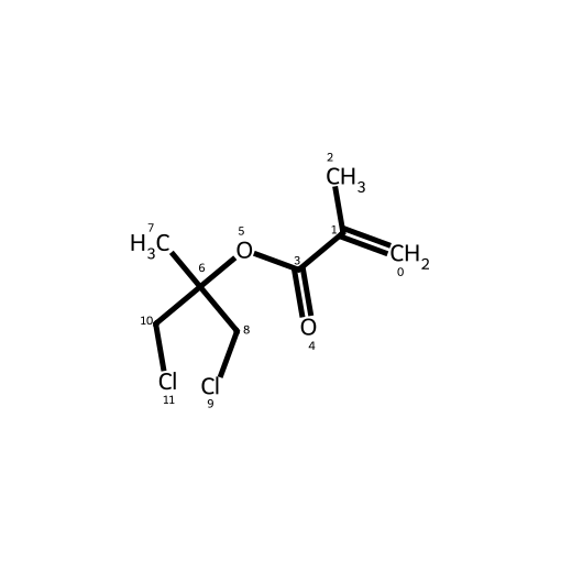 C=C(C)C(=O)OC(C)(CCl)CCl